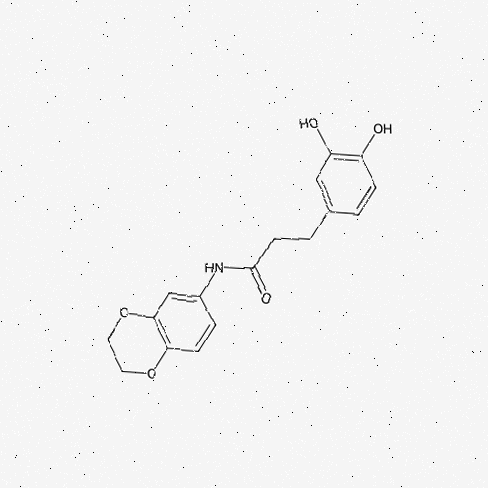 O=C(CCc1ccc(O)c(O)c1)Nc1ccc2c(c1)OCCO2